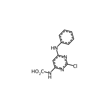 O=C(O)Nc1cc(Nc2ccccc2)nc(Cl)n1